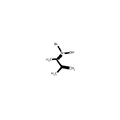 C=C(C)/C(C)=[N+](\O)C(C)C